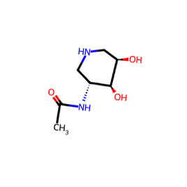 CC(=O)N[C@@H]1CNC[C@@H](O)[C@H]1O